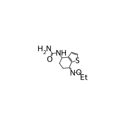 CCO/N=C1/CCC(NC(N)=O)c2ccsc21